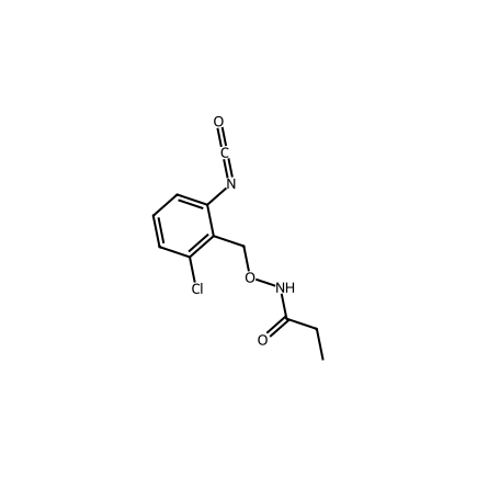 CCC(=O)NOCc1c(Cl)cccc1N=C=O